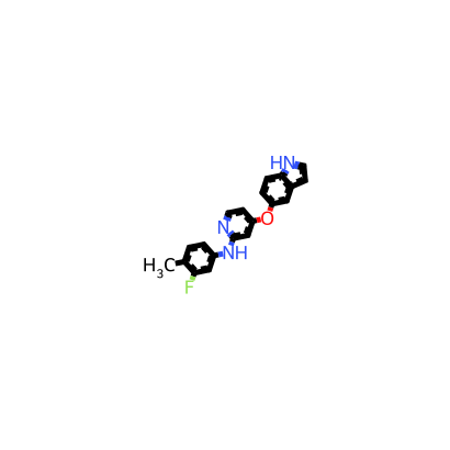 Cc1ccc(Nc2cc(Oc3ccc4[nH]ccc4c3)ccn2)cc1F